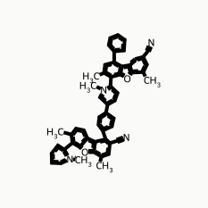 Cc1ccc2c(oc3c(C)cc(C#N)c(-c4ccc(-c5ccc(-c6c(C)cc(-c7ccccc7)c7c6oc6c(C)cc(C#N)cc67)[n+](C)c5)cc4)c32)c1-c1cccc[n+]1C